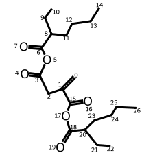 C=C(CC(=O)OC(=O)C(CC)CCCC)C(=O)OC(=O)C(CC)CCCC